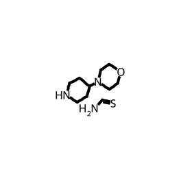 C1CC(N2CCOCC2)CCN1.NC=S